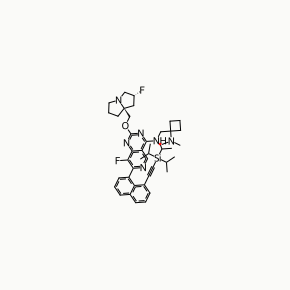 CC(C)[Si](C#Cc1cccc2cccc(-c3ncc4c(NCC5(N(C)C)CCC5)nc(OC[C@@]56CCCN5C[C@H](F)C6)nc4c3F)c12)(C(C)C)C(C)C